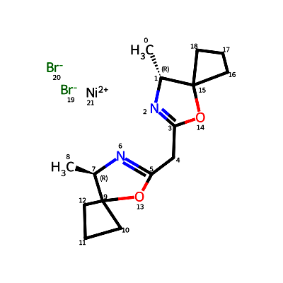 C[C@H]1N=C(CC2=N[C@H](C)C3(CCC3)O2)OC12CCC2.[Br-].[Br-].[Ni+2]